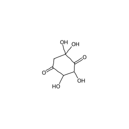 O=C1CC(O)(O)C(=O)C(O)C1O